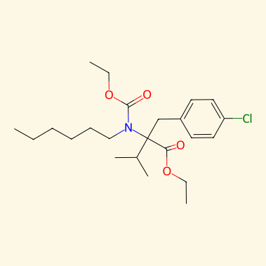 CCCCCCN(C(=O)OCC)C(Cc1ccc(Cl)cc1)(C(=O)OCC)C(C)C